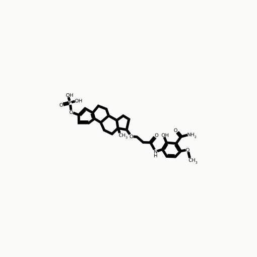 COc1ccc(NC(=O)CCOC2CCC3C4CCc5cc(OP(=O)(O)O)ccc5C4CCC23C)c(O)c1C(N)=O